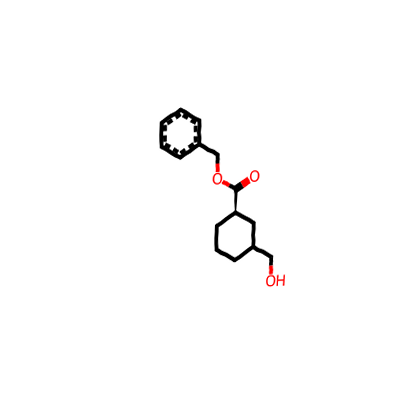 O=C(OCc1ccccc1)[C@@H]1CCCC(CO)C1